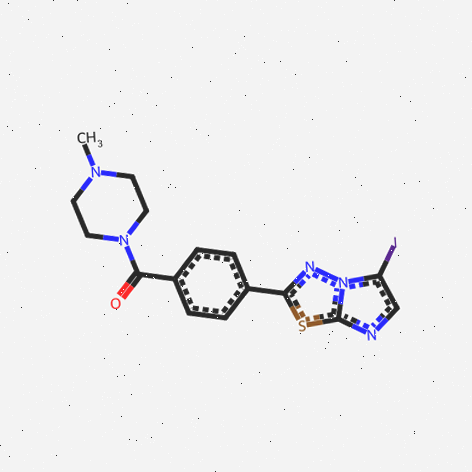 CN1CCN(C(=O)c2ccc(-c3nn4c(I)cnc4s3)cc2)CC1